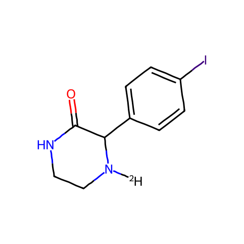 [2H]N1CCNC(=O)C1c1ccc(I)cc1